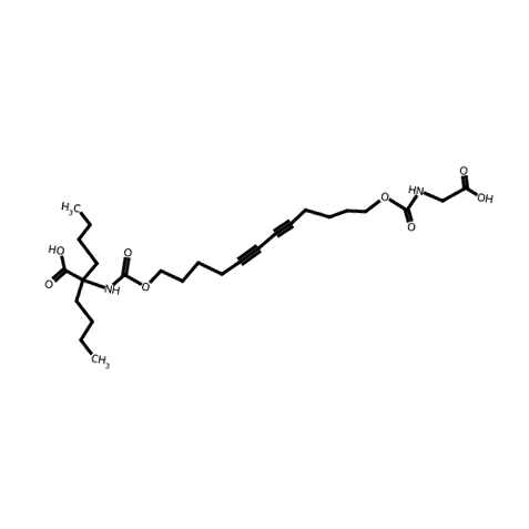 CCCCC(CCCC)(NC(=O)OCCCCC#CC#CCCCCOC(=O)NCC(=O)O)C(=O)O